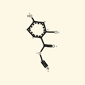 N#COC(=O)c1ccc(O)cc1Cl